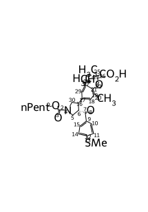 CCCCCOC(=O)N1C[C@@H](C(=O)c2ccc(SC)cc2)[C@H](c2cc(C)c(OC(C)(C)C(=O)O)c(C)c2)C1